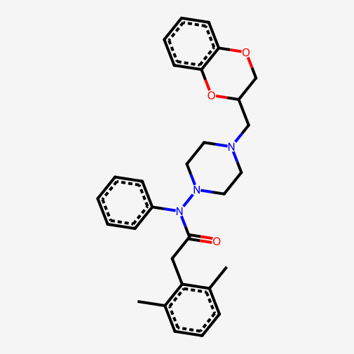 Cc1cccc(C)c1CC(=O)N(c1ccccc1)N1CCN(CC2COc3ccccc3O2)CC1